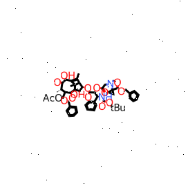 CC(=O)OCC1[C@H](C)C(=O)[C@H](O)C2=C(C)C3[C@@H](OC(=O)[C@H](OC(=O)CN(C)C4(C(=O)OCc5ccccc5)CC4)[C@@H](NC(=O)OC(C)(C)C)c4ccccc4)C[C@@](O)([C@H]1OC(=O)c1ccccc1)C23C